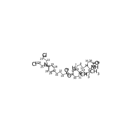 C[C@]12CCC3C(CC[C@@H]4C[C@@H](OC(=O)CCCc5ccc(N(CCCl)CCCl)cc5)CC[C@]34C)C1CCC(=O)N2